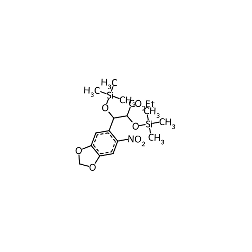 CCOC(=O)C(O[Si](C)(C)C)C(O[Si](C)(C)C)c1cc2c(cc1[N+](=O)[O-])OCO2